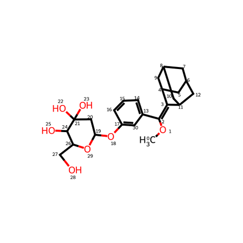 COC(=C1C2CC3CC(C2)CC1C3)c1cccc(OC2CC(O)(O)C(O)C(CO)O2)c1